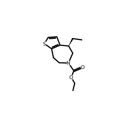 CCOC(=O)N1CCc2sccc2[C@@H](CC)C1